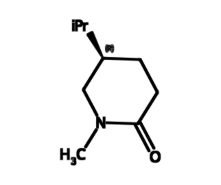 CC(C)[C@H]1CCC(=O)N(C)C1